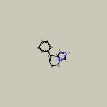 C1=C(c2ccccc2)c2cncn2CC1